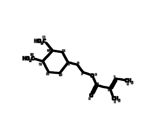 CC=C(C)C(=O)OCCC1CCC(C(=O)O)C(C(=O)O)C1